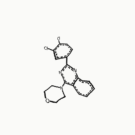 Clc1ccc(-c2nc(N3CCOCC3)c3ccccc3n2)cc1Cl